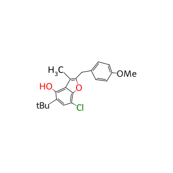 COc1ccc(Cc2oc3c(Cl)cc(C(C)(C)C)c(O)c3c2C)cc1